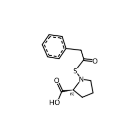 O=C(Cc1ccccc1)SN1CCC[C@H]1C(=O)O